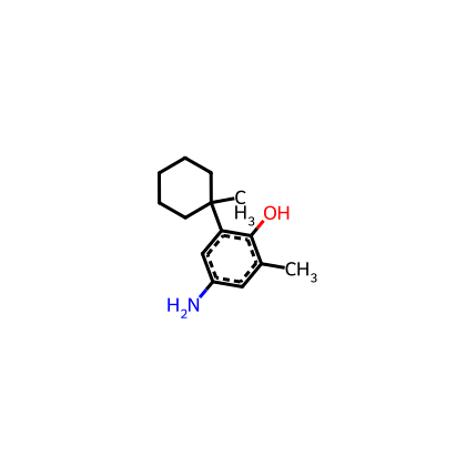 Cc1cc(N)cc(C2(C)CCCCC2)c1O